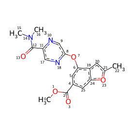 COC(=O)c1cc(Oc2cnc(C(=O)N(C)C)cn2)c2cc(C)oc2c1